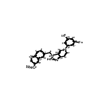 COc1cnc2ccc(CN3NN=C4C=CN(c5cc(F)cc(F)c5)C=C43)cc2c1